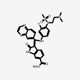 COC(=O)c1ccc2c(c1)NC(=O)C2=C(Nc1ccc(N(CCN(C)C)S(C)(=O)=O)c(F)c1)c1ccc2nccnc2c1